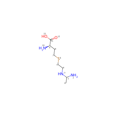 CC(N)NCCSCC[C@@H](N)C(=O)O